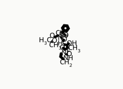 C=C1C=CN([C@@H]2O[C@H](COP(=O)(N[C@@H](C)C(=O)OC(C)C)Oc3ccccc3)C(O)[C@@]2(C)F)C(=O)N1